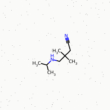 CC(C)NCC(C)(C)CC#N